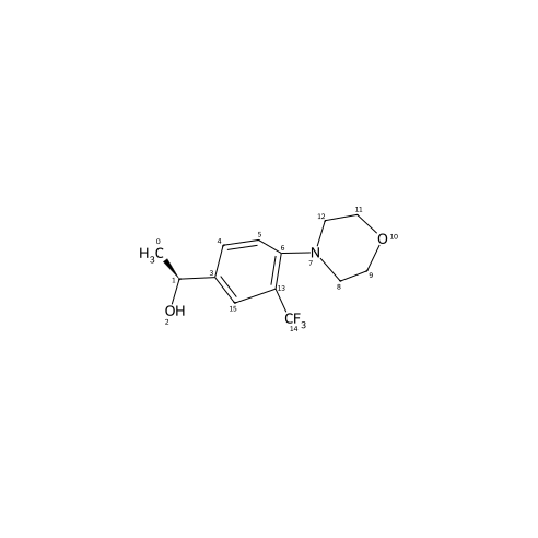 C[C@H](O)c1ccc(N2CCOCC2)c(C(F)(F)F)c1